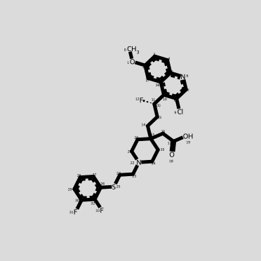 COc1ccc2ncc(Cl)c([C@@H](F)CCC3(CC(=O)O)CCN(CCSc4cccc(F)c4F)CC3)c2c1